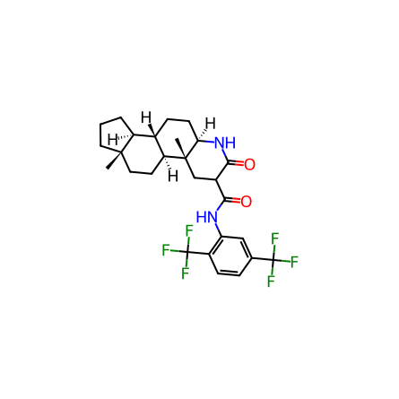 C[C@@]12CCC[C@H]1[C@@H]1CC[C@H]3NC(=O)C(C(=O)Nc4cc(C(F)(F)F)ccc4C(F)(F)F)C[C@]3(C)[C@H]1CC2